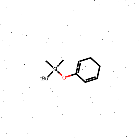 CC(C)(C)[Si](C)(C)OC1=CCCC=C1